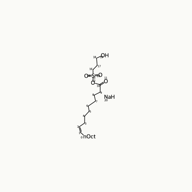 CCCCCCCC/C=C\CCCCCCCC(=O)OS(=O)(=O)CCCO.[NaH]